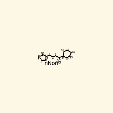 CCCCCCCCCSC(CCCn1ccnc1)C1CCCCC1